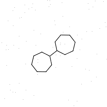 [CH]1CCCCC[C]1[C]1CCCCCC1